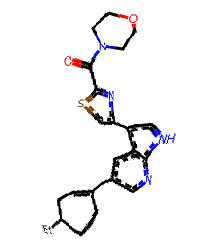 CCC1CC=C(c2cnc3[nH]cc(-c4csc(C(=O)N5CCOCC5)n4)c3c2)CC1